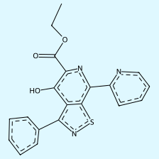 CCOC(=O)c1nc(-c2ccccn2)c2snc(-c3ccccc3)c2c1O